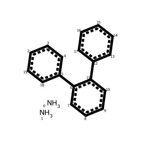 N.N.c1ccc(-c2ccccc2-c2ccccc2)cc1